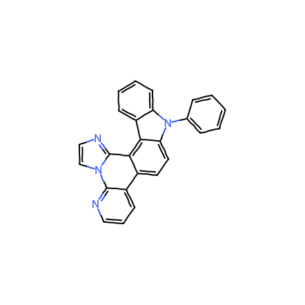 c1ccc(-n2c3ccccc3c3c4c(ccc32)c2cccnc2n2ccnc42)cc1